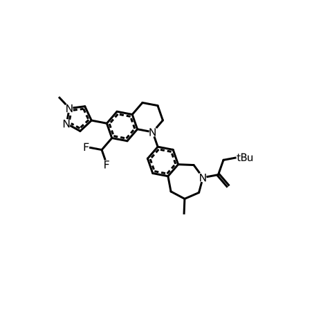 C=C(CC(C)(C)C)N1Cc2cc(N3CCCc4cc(-c5cnn(C)c5)c(C(F)F)cc43)ccc2CC(C)C1